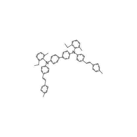 CCc1cccc(C)c1N(c1ccc(/C=C/c2ccc(C)cc2)cc1)c1ccc(-c2ccc(N(c3ccc(/C=C/c4ccc(C)cc4)cc3)c3c(C)cccc3CC)cc2)cc1